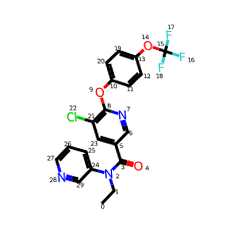 CCN(C(=O)c1cnc(Oc2ccc(OC(F)(F)F)cc2)c(Cl)c1)c1cccnc1